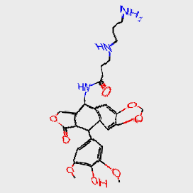 COc1cc(C2c3cc4c(cc3C(NC(=O)CCNCCCN)C3COC(=O)C23)OCO4)cc(OC)c1O